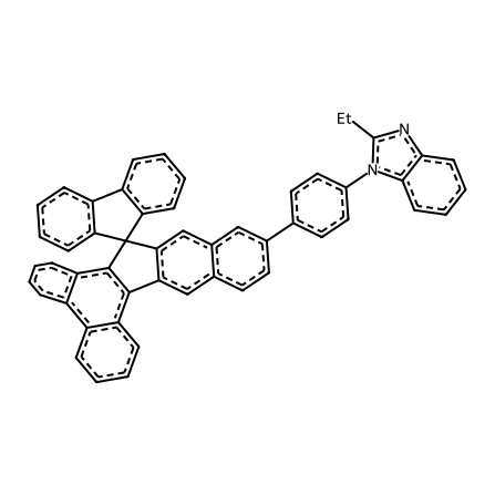 CCc1nc2ccccc2n1-c1ccc(-c2ccc3cc4c(cc3c2)C2(c3ccccc3-c3ccccc32)c2c-4c3ccccc3c3ccccc23)cc1